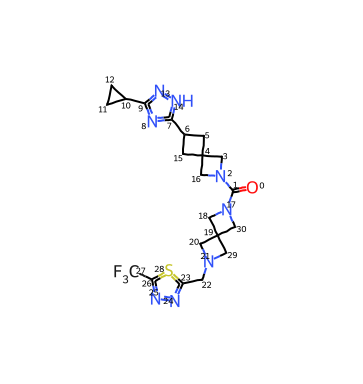 O=C(N1CC2(CC(c3nc(C4CC4)n[nH]3)C2)C1)N1CC2(CN(Cc3nnc(C(F)(F)F)s3)C2)C1